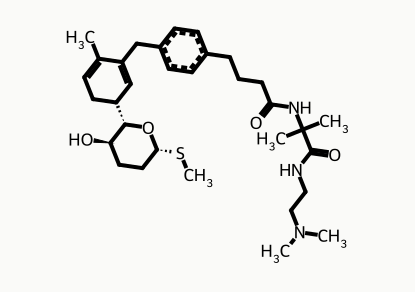 CS[C@@H]1CC[C@@H](O)[C@H](C2C=C(Cc3ccc(CCCC(=O)NC(C)(C)C(=O)NCCN(C)C)cc3)C(C)=CC2)O1